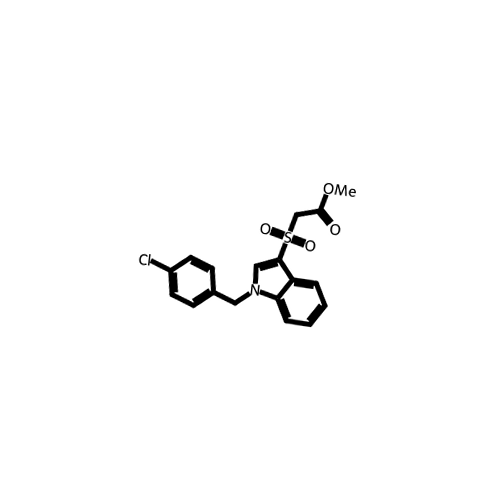 COC(=O)CS(=O)(=O)c1cn(Cc2ccc(Cl)cc2)c2ccccc12